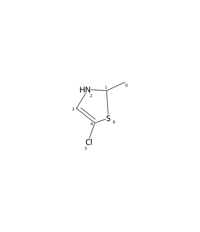 CC1NC=C(Cl)S1